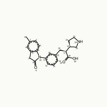 Cc1ccc2c(c1)CC(=O)N2c1cccc(C[C@H](C(=O)O)[C@H]2CCNC2)c1